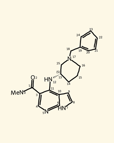 CNC(=O)c1cnc2[nH]ccc2c1N[C@H]1CCCN(Cc2ccccc2)C1